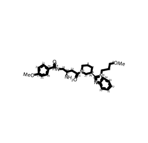 COCCCn1c([C@@H]2CCCN(C(=O)C[C@@H](N)CNC(=O)c3ccc(OC)cc3)C2)nc2ccccc21